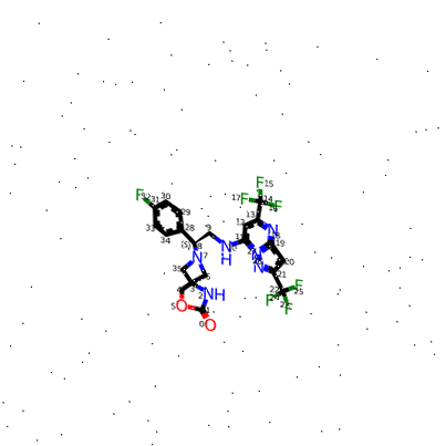 O=C1NC2(CO1)CN([C@H](CNc1cc(C(F)(F)F)nc3cc(C(F)(F)F)nn13)c1ccc(F)cc1)C2